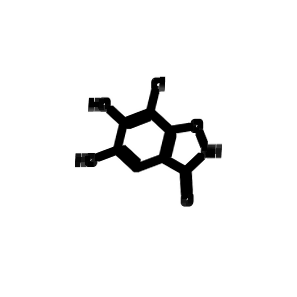 O=c1[nH]oc2c(Cl)c(O)c(O)cc12